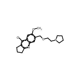 COc1cc2c(Cl)c3c(nc2cc1COCCN1CCCC1)CCC3